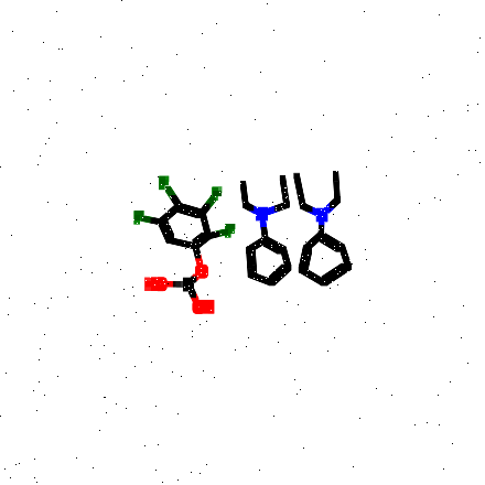 CCN(CC)c1ccccc1.CCN(CC)c1ccccc1.OB(O)Oc1cc(F)c(F)c(F)c1F